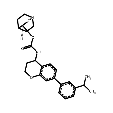 CC(C)c1cccc(-c2ccc3c(c2)OCCC3NC(=O)O[C@@H]2CN3CCC2CC3)c1